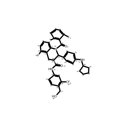 Cc1cccc(F)c1C(=O)N1c2cccc(F)c2C[C@H](C(=O)Nc2ccc(CO)c(C(F)(F)F)c2)C1c1ccc(NC2CCCC2)cc1